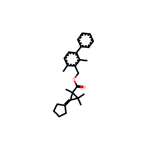 Cc1ccc(-c2ccccc2)c(C)c1COC(=O)C1(C)C(=C2CCCC2)C1(C)C